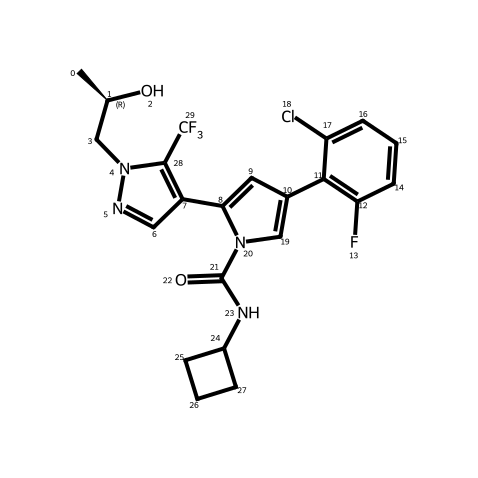 C[C@@H](O)Cn1ncc(-c2cc(-c3c(F)cccc3Cl)cn2C(=O)NC2CCC2)c1C(F)(F)F